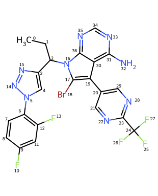 CCC(c1cn(-c2ccc(F)cc2F)nn1)n1c(Br)c(-c2cnc(C(F)(F)F)nc2)c2c(N)ncnc21